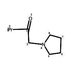 CC(C)C(=O)CN1CCCC1